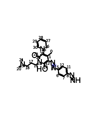 Cc1c(/N=N/c2ccc(N=N)cc2)c(O)n(CCCN(C)C)c(=O)c1-[n+]1ccccc1